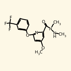 CNN(C)C(=O)c1cc(OC)cc(Oc2cccc(C(F)(F)F)c2)n1